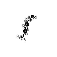 CN(C)CCNc1ccc2c(=O)n(-c3ccc(NC(=O)NS(=O)(=O)c4ccc(Cl)s4)cc3Cl)cnc2c1